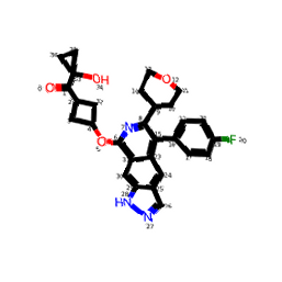 O=C(C1CC(Oc2nc(C3CCOCC3)c(-c3ccc(F)cc3)c3cc4cn[nH]c4cc23)C1)C1(O)CC1